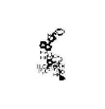 COc1c(CS(=O)(=O)NCC(=O)NC2CC2)cc(C(C)(C)C)cc1NC(=O)Nc1ccc(-c2ccc(CN3CCOCC3)nc2)c2ccccc12